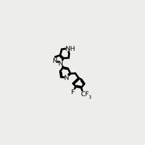 Fc1cc(Cc2cc(-n3ncc4c3CCNC4)ccn2)ccc1C(F)(F)F